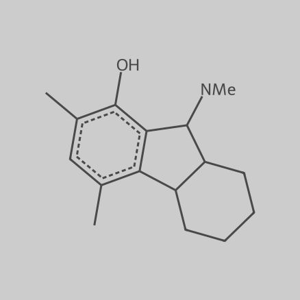 CNC1c2c(O)c(C)cc(C)c2C2CCCCC21